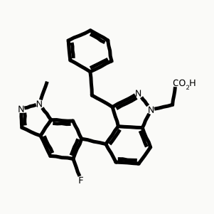 Cn1ncc2cc(F)c(-c3cccc4c3c(Cc3ccccc3)nn4CC(=O)O)cc21